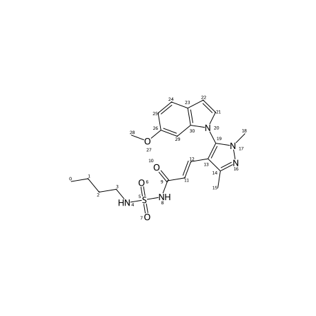 CCCCNS(=O)(=O)NC(=O)C=Cc1c(C)nn(C)c1-n1ccc2ccc(OC)cc21